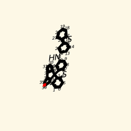 c1ccc2c(c1)Sc1ccc(Nc3ccc4sc5ccccc5c4c3)cc1C21c2ccccc2-c2ccccc21